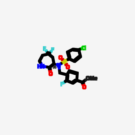 COC(=O)c1ccc(CN([C@@H]2CC(F)(F)CCNC2=O)S(=O)(=O)c2ccc(Cl)cc2)c(F)c1